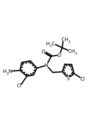 CC(C)(C)OC(=O)N(Cc1ccc(Cl)s1)c1ccc(N)c(Cl)c1